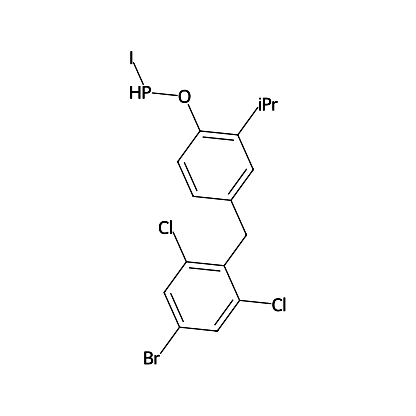 CC(C)c1cc(Cc2c(Cl)cc(Br)cc2Cl)ccc1OPI